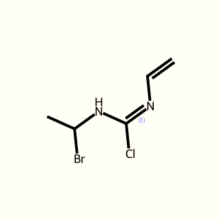 C=C/N=C(/Cl)NC(C)Br